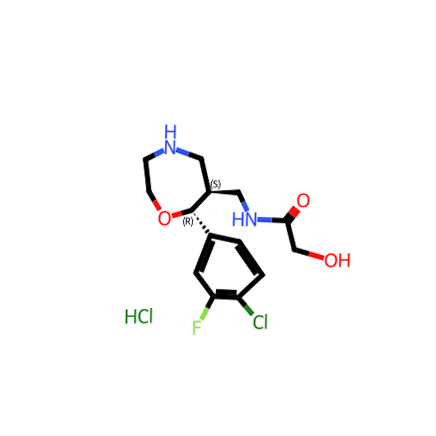 Cl.O=C(CO)NC[C@@H]1CNCCO[C@H]1c1ccc(Cl)c(F)c1